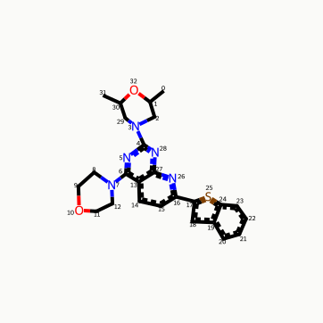 CC1CN(c2nc(N3CCOCC3)c3ccc(-c4cc5ccccc5s4)nc3n2)CC(C)O1